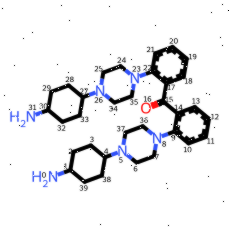 NC1CCC(N2CCN(c3ccccc3C(=O)c3ccccc3N3CCN(C4CCC(N)CC4)CC3)CC2)CC1